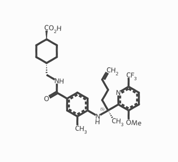 C=CCC[C@](C)(Nc1ccc(C(=O)NC[C@H]2CC[C@H](C(=O)O)CC2)cc1C)c1nc(C(F)(F)F)ccc1OC